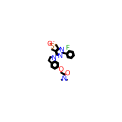 CN(C)C(=O)COc1ccc2c(c1)N(c1nc(-c3ccccc3F)nc3c1C[S+]([O-])C3)CC2